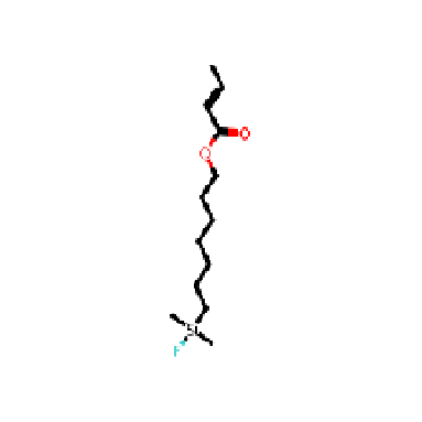 CC=CC(=O)OCCCCCCC[Si](C)(C)F